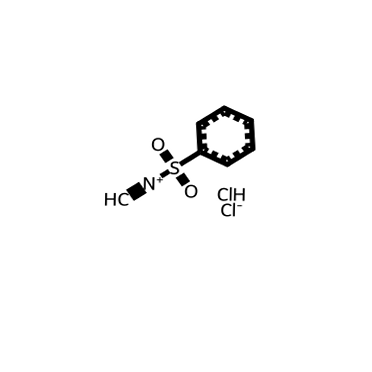 C#[N+]S(=O)(=O)c1ccccc1.Cl.[Cl-]